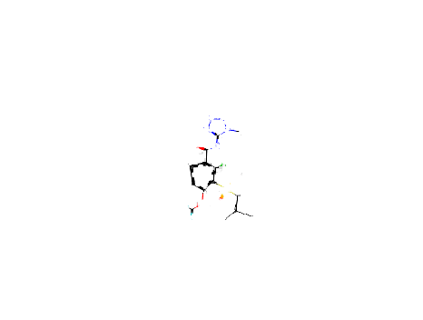 CC(C)CS(=O)(=O)c1c(OC(F)F)ccc(C(=O)NC2=NNNN2C)c1Cl